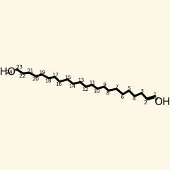 OC=CCCCCCCCCCCCCCCCCCCCCCO